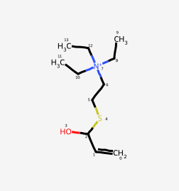 C=CC(O)SCC[N+](CC)(CC)CC